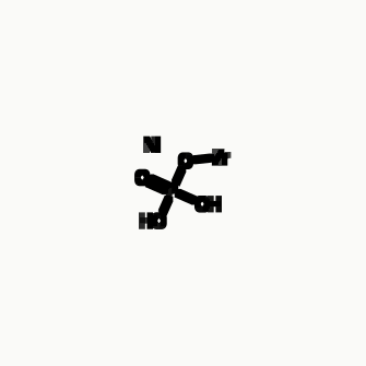 O=P(O)(O)[O][Zr].[Ni]